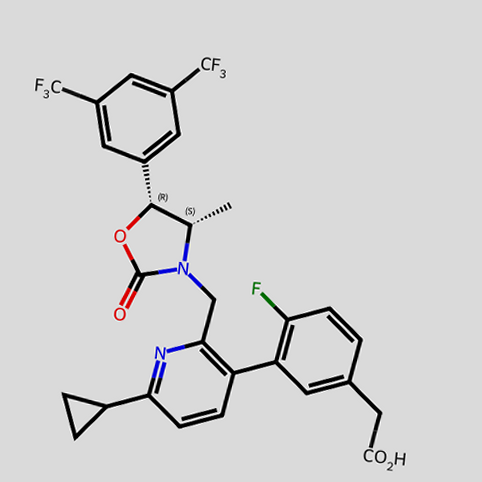 C[C@H]1[C@@H](c2cc(C(F)(F)F)cc(C(F)(F)F)c2)OC(=O)N1Cc1nc(C2CC2)ccc1-c1cc(CC(=O)O)ccc1F